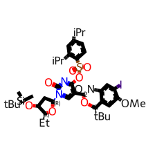 CC[C@H]1O[C@@H](n2cc(CO[C@H](c3cc(OC)c(I)cc3[N+](=O)[O-])C(C)(C)C)c(OS(=O)(=O)c3ccc(C(C)C)cc3C(C)C)nc2=O)CC1O[Si](C)(C)C(C)(C)C